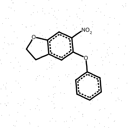 O=[N+]([O-])c1cc2c(cc1Oc1ccccc1)CCO2